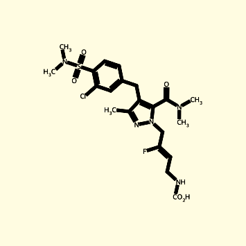 Cc1nn(CC(F)=CCNC(=O)O)c(C(=O)N(C)C)c1Cc1ccc(S(=O)(=O)N(C)C)c(Cl)c1